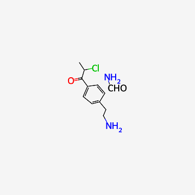 CC(Cl)C(=O)c1ccc(CCN)cc1.NC=O